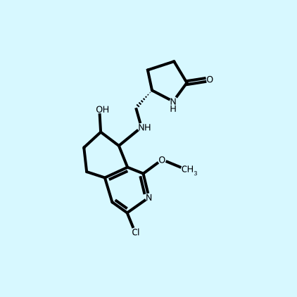 COc1nc(Cl)cc2c1C(NC[C@@H]1CCC(=O)N1)C(O)CC2